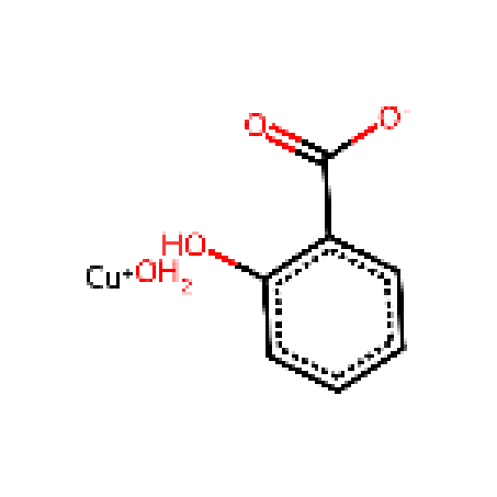 O.O=C([O-])c1ccccc1O.[Cu+]